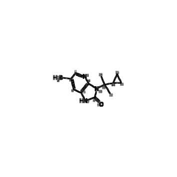 Bc1cnc2c(c1)[nH]c(=O)n2C(C)(C)C1CC1